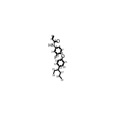 C=CC(=O)Nc1ccc(Oc2ccc(C(CC)CCC)cc2)c(F)c1